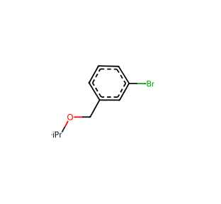 C[C](C)OCc1cccc(Br)c1